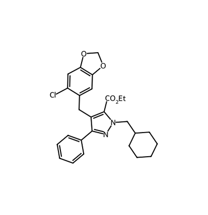 CCOC(=O)c1c(Cc2cc3c(cc2Cl)OCO3)c(-c2ccccc2)nn1CC1CCCCC1